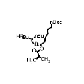 Br.C=C(C)C(=O)OCCCCCCCCCCCCCCCC.CCCCP(CCCC)CCCC